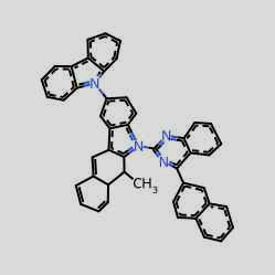 CC1c2c(c3cc(-n4c5ccccc5c5ccccc54)ccc3n2-c2nc(-c3ccc4ccccc4c3)c3ccccc3n2)C=C2C=CC=CC21